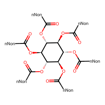 CCCCCCCCCC(=O)O[C@H]1[C@H](OC(=O)CCCCCCCCC)[C@@H](OC(=O)CCCCCCCCC)[C@H](OC(=O)CCCCCCCCC)[C@@H](OC(=O)CCCCCCCCC)[C@@H]1OC(=O)CCCCCCCCC